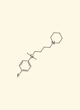 C[Si](C)(CCCCN1CCCCC1)c1ccc(F)cc1